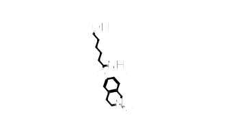 CC(=O)N1CCc2cc(OC(N)CCCCCO)ccc2C1